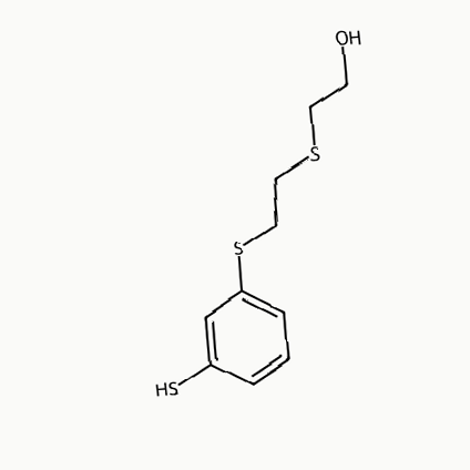 OCCSCCSc1cccc(S)c1